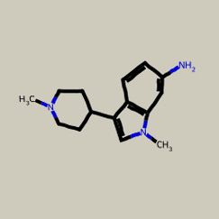 CN1CCC(c2cn(C)c3cc(N)ccc23)CC1